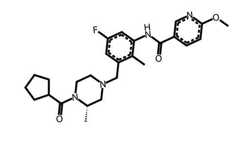 COc1ccc(C(=O)Nc2cc(F)cc(CN3CCN(C(=O)C4CCCC4)[C@@H](C)C3)c2C)cn1